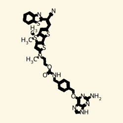 CN(CCOC(=O)NCc1ccc(COc2nc(N)nc3[nH]cnc23)cc1)c1cc2c(s1)-c1sc(/C=C(/C#N)c3nc4ccccc4s3)cc1S2(C)C